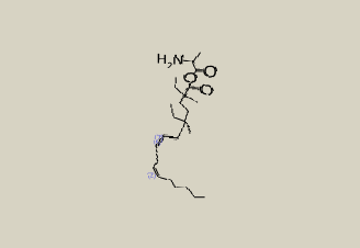 CCCCC/C=C\C/C=C\CC(C)(CC)CCC(C)(CC)C(=O)OC(=O)C(C)N